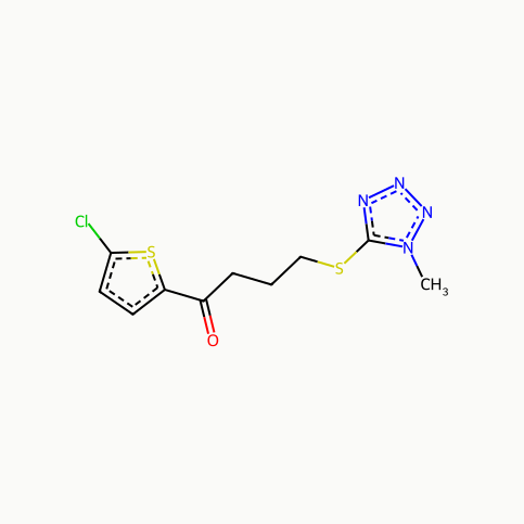 Cn1nnnc1SCCCC(=O)c1ccc(Cl)s1